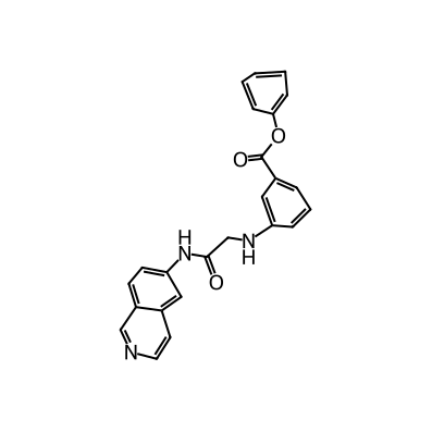 O=C(CNc1cccc(C(=O)Oc2ccccc2)c1)Nc1ccc2cnccc2c1